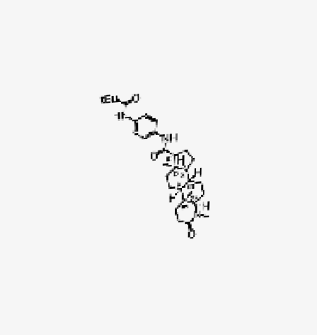 CN1C(=O)CC[C@]2(C)[C@H]3CC[C@]4(C)[C@@H](C(=O)Nc5ccc(NC(=O)C(C)(C)C)cc5)CC[C@H]4[C@@H]3CC[C@@H]12